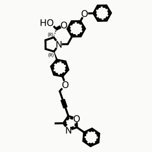 Cc1nc(-c2ccccc2)oc1C#CCOc1ccc([C@H]2CC[C@H](C(=O)O)N2Cc2ccc(Oc3ccccc3)cc2)cc1